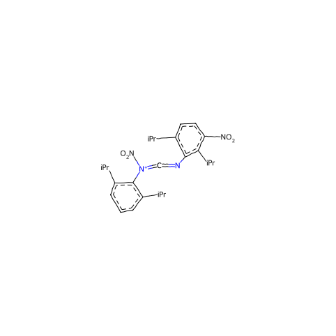 CC(C)c1ccc([N+](=O)[O-])c(C(C)C)c1N=C=[N+](c1c(C(C)C)cccc1C(C)C)[N+](=O)[O-]